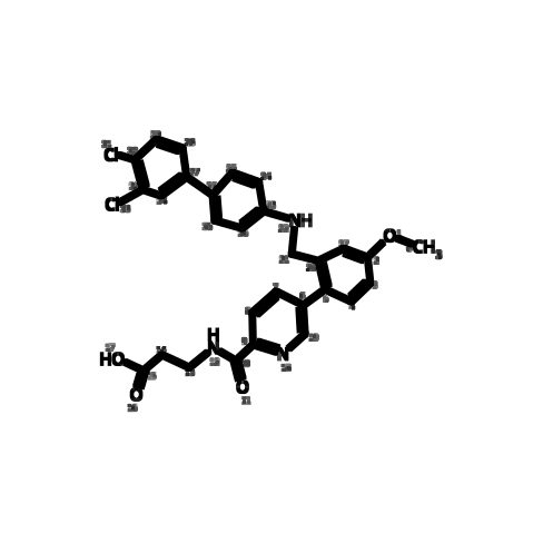 COc1ccc(-c2ccc(C(=O)NCCC(=O)O)nc2)c(CNc2ccc(-c3ccc(Cl)c(Cl)c3)cc2)c1